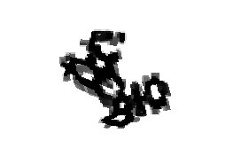 Cc1c(Cc2cc3ccccc3n2S(=O)(=O)N2CCOCC2)c2c(n1CC(=O)O)CC(C)(C)CC2=O